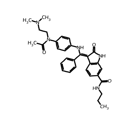 CCCNC(=O)c1ccc2c(c1)NC(=O)/C2=C(\Nc1ccc(N(CCN(C)C)C(C)=O)cc1)c1ccccc1